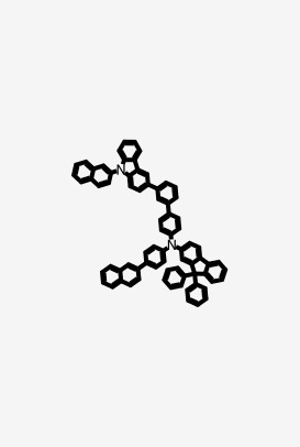 c1ccc(C2(c3ccccc3)c3ccccc3-c3ccc(N(c4ccc(-c5cccc(-c6ccc7c(c6)c6ccccc6n7-c6ccc7ccccc7c6)c5)cc4)c4ccc(-c5ccc6ccccc6c5)cc4)cc32)cc1